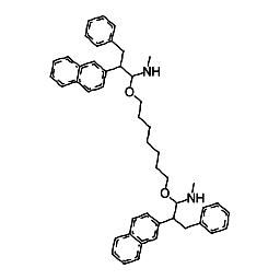 CNC(OCCCCCCCOC(NC)C(Cc1ccccc1)c1ccc2ccccc2c1)C(Cc1ccccc1)c1ccc2ccccc2c1